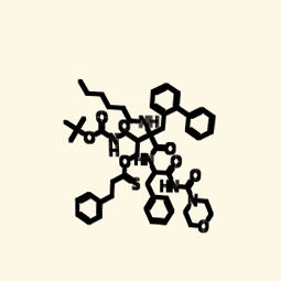 CCCCCC(=O)NC(Cc1ccccc1-c1ccccc1)(C(=O)NC(Cc1ccccc1)C(=O)NC(=O)N1CCOCC1)C(CNC(=O)OC(C)(C)C)COC(=S)CCc1ccccc1